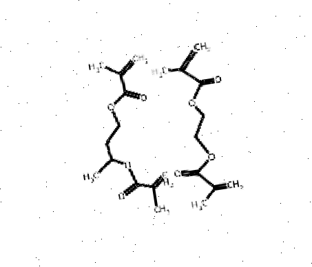 C=C(C)C(=O)OCCC(C)OC(=O)C(=C)C.C=C(C)C(=O)OCCOC(=O)C(=C)C